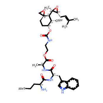 CO[C@@H]1[C@H](OC(=O)NCCOC(=O)[C@H](C)NC(=O)[C@H](Cc2c[nH]c3ccccc23)NC(=O)[C@@H](N)CCSC)CC[C@]2(CO2)[C@H]1[C@@]1(C)O[C@@H]1CC=C(C)C